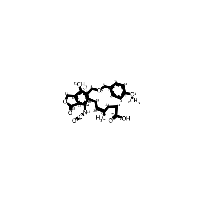 COc1ccc(COCc2c(C)c3c(c(N=C=O)c2CC=C(C)CCC(=O)O)C(=O)OC3)cc1